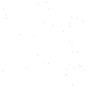 C=CCN(CCC)C1CCC(c2ccc(Cl)cc2)(N(C)C)CC1CCCC